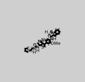 COc1cc(-c2csc3c(NC(=O)NCCN4CCCC4)cnc(N)c23)ccc1NC(=O)c1cc2ccccc2n1C